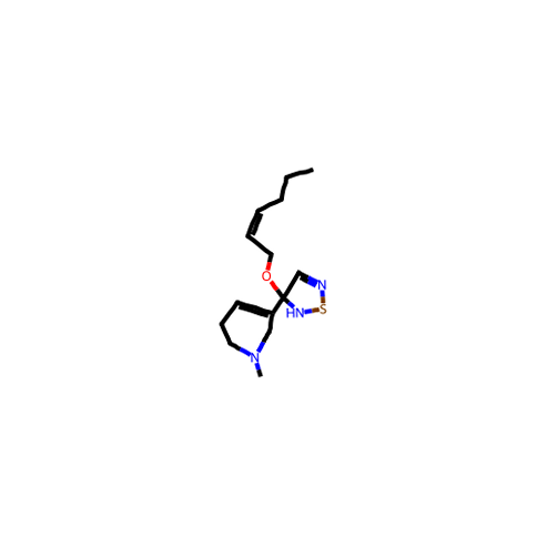 CCC/C=C\COC1(C2=CCCN(C)C2)C=NSN1